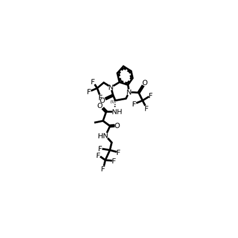 CC(C(=O)NCC(F)(F)C(F)(F)F)C(=O)N[C@H]1CN(C(=O)C(F)(F)F)c2ccccc2N(CC(F)(F)F)C1=O